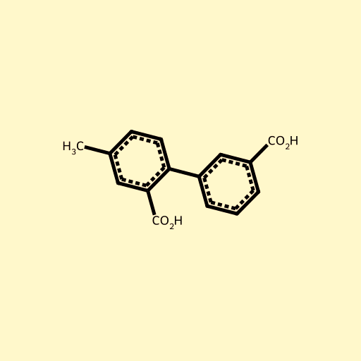 Cc1ccc(-c2cccc(C(=O)O)c2)c(C(=O)O)c1